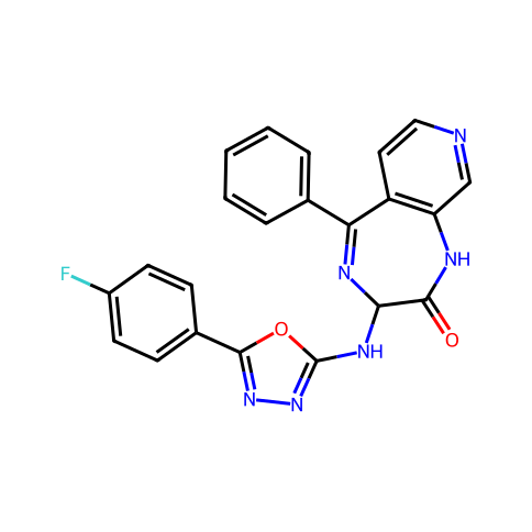 O=C1Nc2cnccc2C(c2ccccc2)=NC1Nc1nnc(-c2ccc(F)cc2)o1